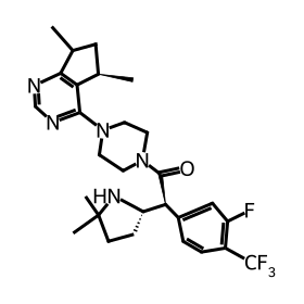 CC1C[C@@H](C)c2c1ncnc2N1CCN(C(=O)[C@@H](c2ccc(C(F)(F)F)c(F)c2)[C@@H]2CCC(C)(C)N2)CC1